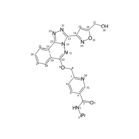 CC(C)NC(=O)c1ccc(COc2nn3c(-c4cc(CO)on4)nnc3c3ccccc23)nc1